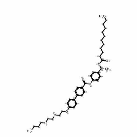 CCCCCCCCCCCC(=O)O[C@H](C)c1ccc(OC(=O)c2ccc(-c3ccc(OCCOCCOCCCC)cc3)cc2)cc1